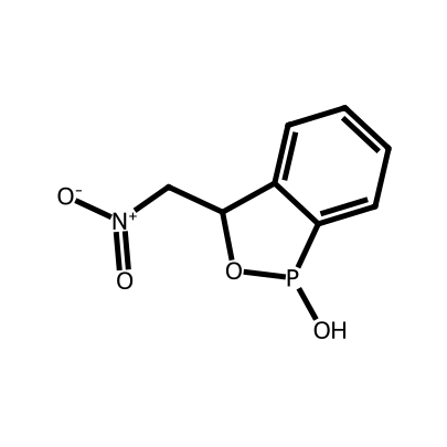 O=[N+]([O-])CC1OP(O)c2ccccc21